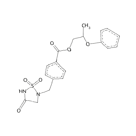 CC(COC(=O)c1ccc(CN2CC(=O)NS2(=O)=O)cc1)Oc1ccccc1